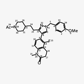 COc1ccc(Cn2cc(-c3ccc4c(c3F)CCC(=O)N4C)c(CCC3CCN(C(C)=O)CC3)n2)cc1